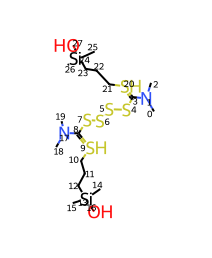 CN(C)C(SSSSC(=[SH]CCC[Si](C)(C)O)N(C)C)=[SH]CCC[Si](C)(C)O